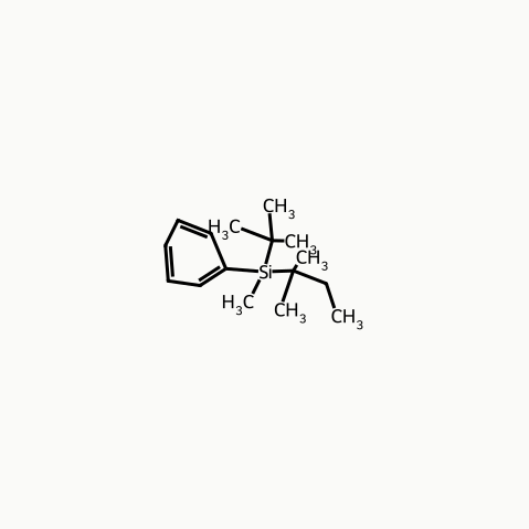 CCC(C)(C)[Si](C)(c1ccccc1)C(C)(C)C